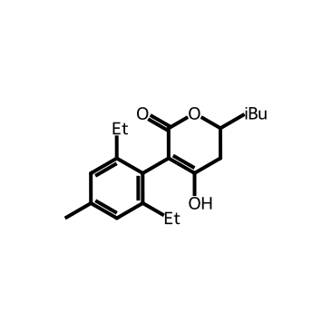 CCc1cc(C)cc(CC)c1C1=C(O)CC(C(C)CC)OC1=O